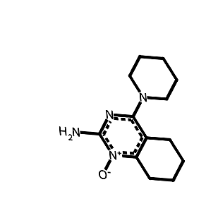 Nc1nc(N2CCCCC2)c2c([n+]1[O-])CCCC2